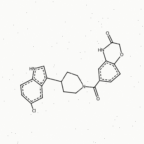 O=C1COc2ccc(C(=O)N3CCC(c4c[nH]c5ccc(Cl)cc45)CC3)cc2N1